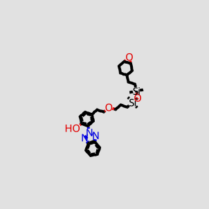 C[Si](C)(CCCOCCc1ccc(O)c(-n2nc3ccccc3n2)c1)O[Si](C)(C)CCC1CCC2OC2C1